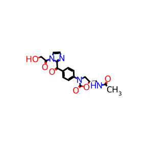 CC(=O)NC[C@H]1CN(c2ccc(C(=O)c3nccn3C(=O)CO)cc2)C(=O)O1